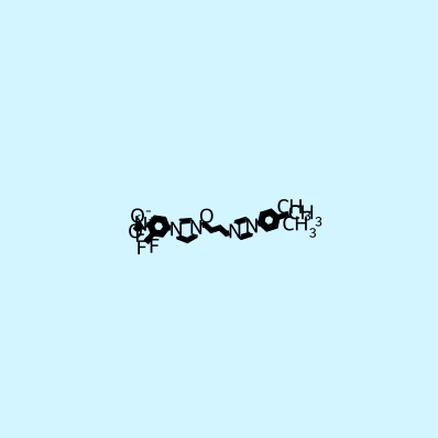 CC(C)(C)c1ccc(N2CCN(CCCC(=O)N3CCCN(c4ccc([N+](=O)[O-])c(C(F)(F)F)c4)CC3)CC2)cc1